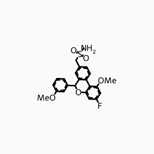 COc1cccc(C2Oc3cc(F)cc(OC)c3-c3ccc(CS(N)(=O)=O)cc32)c1